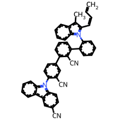 C=C/C=C\c1c(C)c2ccccc2n1-c1ccccc1-c1cccc(-c2ccc(-n3c4ccccc4c4cc(C#N)ccc43)c(C#N)c2)c1C#N